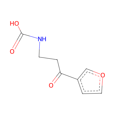 O=C(O)NCCC(=O)c1ccoc1